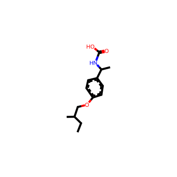 CCC(C)COc1ccc(C(C)NC(=O)O)cc1